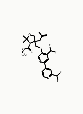 C=C(C)CC1(COc2cnc(-c3ccnc(C(F)F)c3)cc2C(F)F)COC(C)(C)N1C(=O)OC(C)(C)C